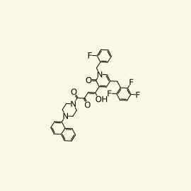 O=C(C=C(O)c1cc(Cc2c(F)ccc(F)c2F)cn(Cc2ccccc2F)c1=O)C(=O)N1CCN(c2cccc3ccccc23)CC1